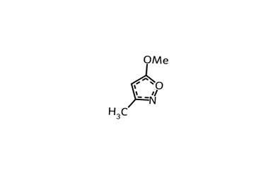 [CH2]Oc1cc(C)no1